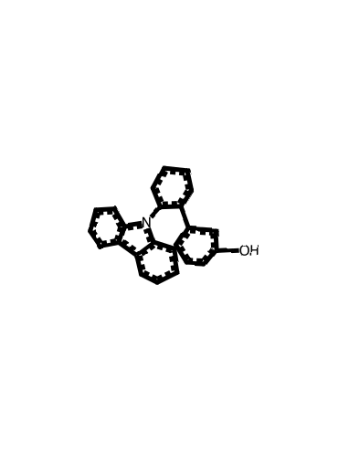 Oc1cccc(-c2ccccc2-n2c3ccccc3c3ccccc32)c1